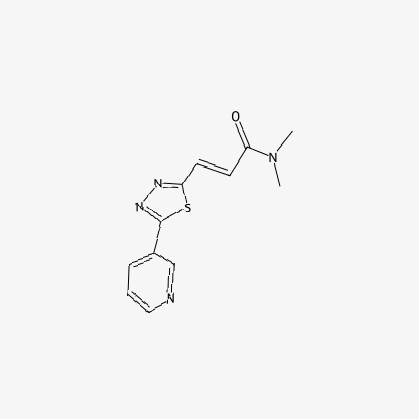 CN(C)C(=O)C=Cc1nnc(-c2cccnc2)s1